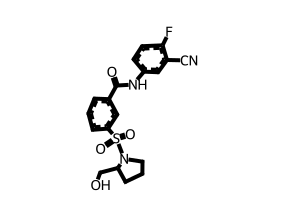 N#Cc1cc(NC(=O)c2cccc(S(=O)(=O)N3CCCC3CO)c2)ccc1F